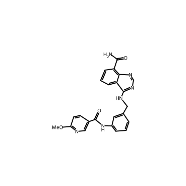 COc1ccc(C(=O)Nc2cccc(CNc3ncnc4c(C(N)=O)cccc34)c2)cn1